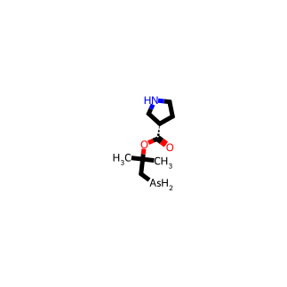 CC(C)(C[AsH2])OC(=O)[C@H]1CCNC1